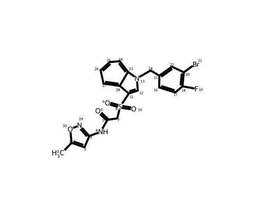 Cc1cc(NC(=O)CS(=O)(=O)c2cn(Cc3ccc(F)c(Br)c3)c3ccccc23)no1